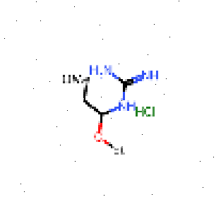 CCOC(COC)NC(=N)N.Cl